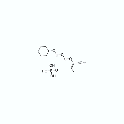 CC=C(CCCCCCCC)OOOOOC1CCCCC1.O=P(O)(O)O